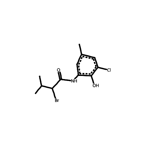 Cc1cc(Cl)c(O)c(NC(=O)C(Br)C(C)C)c1